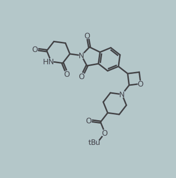 CC(C)(C)OC(=O)C1CCN(C2OCC2c2ccc3c(c2)C(=O)N(C2CCC(=O)NC2=O)C3=O)CC1